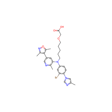 Cc1cn(-c2ccc(N(CCCCCOCC(=O)O)c3cc(-c4c(C)noc4C)cnc3C)cc2Br)cn1